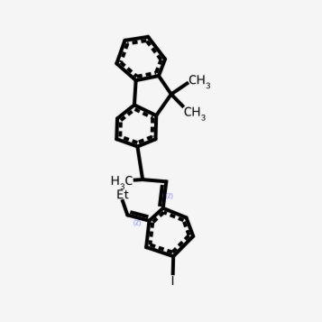 CC/C=c1/cc(I)cc/c1=C/C(C)c1ccc2c(c1)C(C)(C)c1ccccc1-2